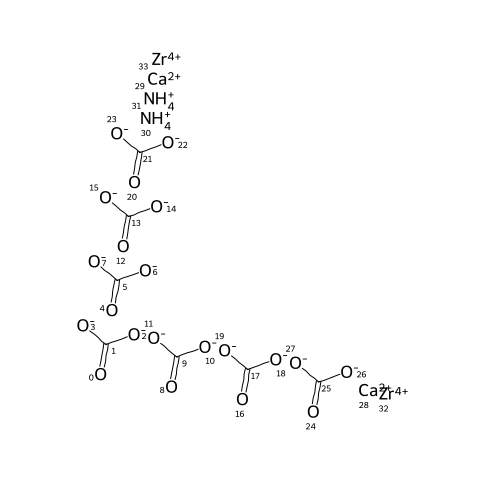 O=C([O-])[O-].O=C([O-])[O-].O=C([O-])[O-].O=C([O-])[O-].O=C([O-])[O-].O=C([O-])[O-].O=C([O-])[O-].[Ca+2].[Ca+2].[NH4+].[NH4+].[Zr+4].[Zr+4]